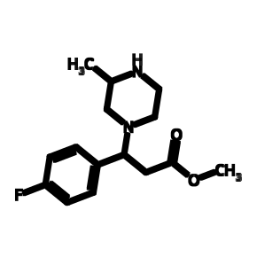 COC(=O)CC(c1ccc(F)cc1)N1CCNC(C)C1